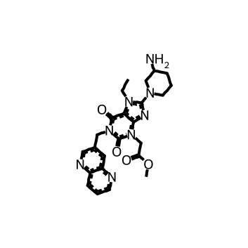 CCn1c(N2CCCC(N)C2)nc2c1c(=O)n(Cc1cnc3cccnc3c1)c(=O)n2CC(=O)OC